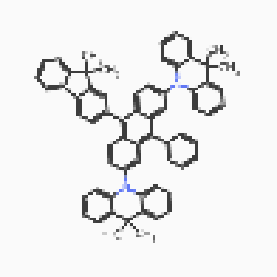 CC1(C)c2ccccc2-c2ccc(-c3c4ccc(N5c6ccccc6C(C)(C)c6ccccc65)cc4c(-c4ccccc4)c4cc(N5c6ccccc6C(C)(C)c6ccccc65)ccc34)cc21